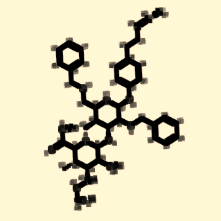 COC(=O)C1O[C@@H](O[C@@H]2C(OCc3ccccc3)[C@H](Oc3ccc(CCN=[N+]=[N-])cc3)OC(COCc3ccccc3)[C@@H]2C)C(OC(C)=O)[C@@H](NOS(=O)(=O)O)[C@@H]1C